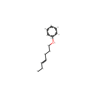 CCC=CCCCOc1cc[c]cc1